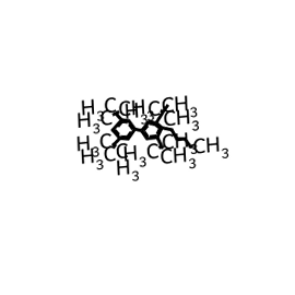 CCCCCc1c(C(C)(C)C)cc(-c2cc(C(C)(C)C)cc(C(C)(C)C)c2)cc1C(C)(C)C